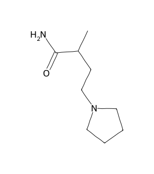 CC(CCN1CCCC1)C(N)=O